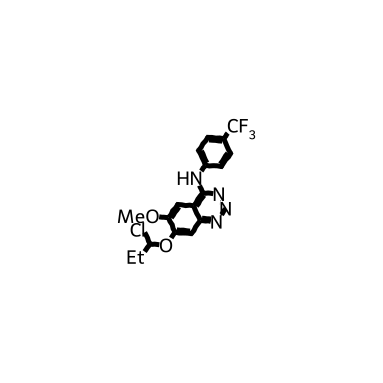 CCC(Cl)Oc1cc2nnnc(Nc3ccc(C(F)(F)F)cc3)c2cc1OC